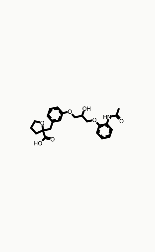 CC(=O)Nc1ccccc1OCC(O)COc1cccc(CC2(C(=O)O)CCCO2)c1